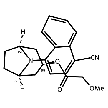 COCC(=O)O[C@H]1C[C@H]2CC[C@@H](C1)N2c1ccc(C#N)c2ccccc12